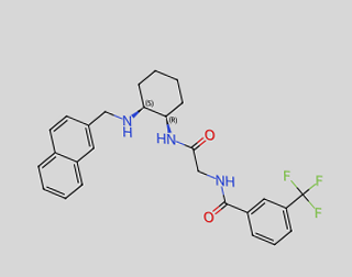 O=C(CNC(=O)c1cccc(C(F)(F)F)c1)N[C@@H]1CCCC[C@@H]1NCc1ccc2ccccc2c1